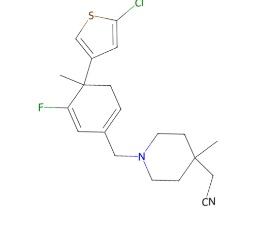 CC1(CC#N)CCN(CC2=CCC(C)(c3csc(Cl)c3)C(F)=C2)CC1